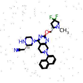 CN1CC(F)(F)C[C@H]1COc1nc2c(c(N3CCN[C@@H](CC#N)C3)n1)CCN(c1cccc3ccccc13)C2